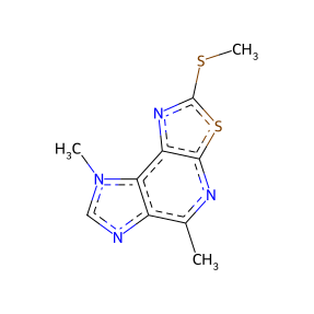 CSc1nc2c(nc(C)c3ncn(C)c32)s1